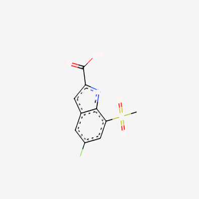 CS(=O)(=O)c1cc(F)cc2cc(C(=O)O)[nH]c12